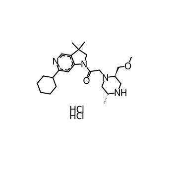 COC[C@H]1CN[C@H](C)CN1CC(=O)N1CC(C)(C)c2cnc(C3CCCCC3)cc21.Cl.Cl